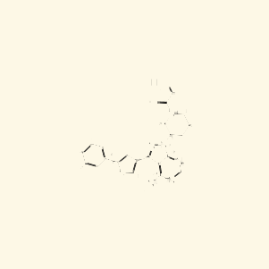 C=CC(=O)N1CCCC(n2nc(-c3csc(-c4ccccc4)c3)c3c(N)ncnc32)C1